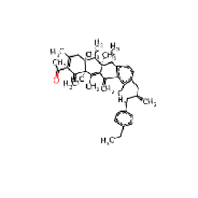 C=C(Cc1ccc(CC)cc1)Cc1ccc2c(c1C)C(=C)C1=C(C)[C@@]3(C)C(=C)C(C(C)=O)=C(C)C[C@@]3(C)[C@H](C)[C@@]1(C)[C@@H]2C